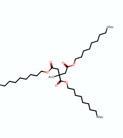 CCCCCCCCCCCCCCCCCCOC(=O)CC(CC(=O)OCCCCCCCCCCCCCCCCCC)(OC(C)=O)C(=O)OCCCCCCCCCCCCCCCCCC